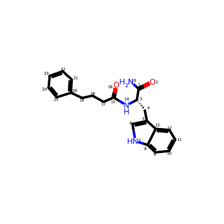 NC(=O)[C@H](Cc1c[nH]c2ccccc12)NC(=O)[CH]CCc1ccccc1